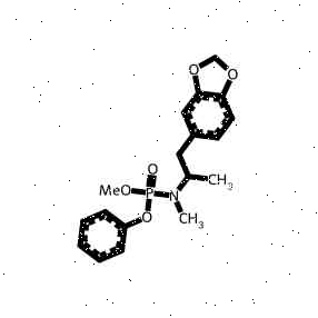 COP(=O)(Oc1ccccc1)N(C)C(C)Cc1ccc2c(c1)OCO2